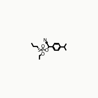 CCCSP(=O)(OCC)OC(C#N)c1ccc(C(C)C)cc1